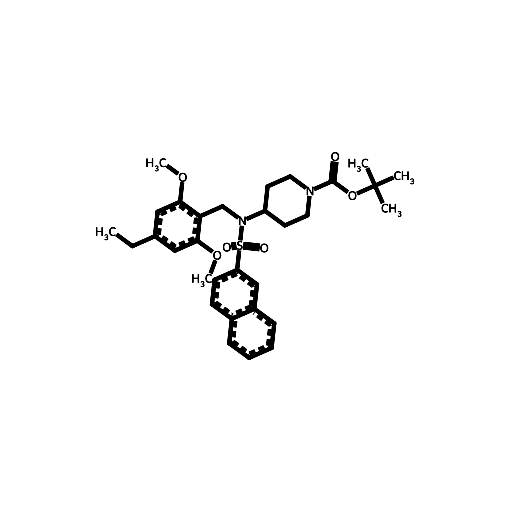 CCc1cc(OC)c(CN(C2CCN(C(=O)OC(C)(C)C)CC2)S(=O)(=O)c2ccc3ccccc3c2)c(OC)c1